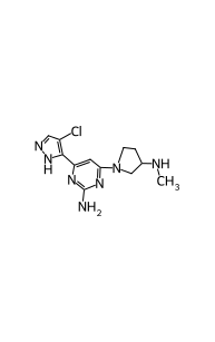 CNC1CCN(c2cc(-c3[nH]ncc3Cl)nc(N)n2)C1